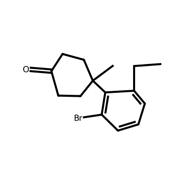 CCc1cccc(Br)c1C1(C)CCC(=O)CC1